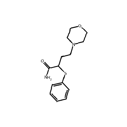 NC(=O)C(CCN1CCOCC1)Sc1cc[c]cc1